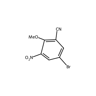 COc1c(C#N)cc(Br)cc1[N+](=O)[O-]